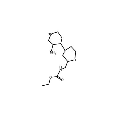 CCOC(=O)NCC1CN(C2CCNCC2N)CCO1